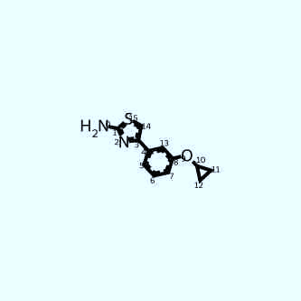 Nc1nc(-c2cccc(OC3CC3)c2)cs1